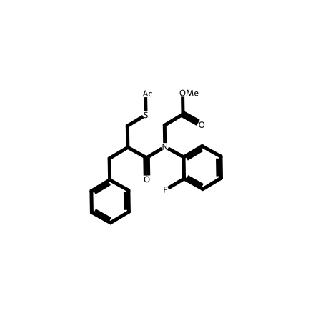 COC(=O)CN(C(=O)C(CSC(C)=O)Cc1ccccc1)c1ccccc1F